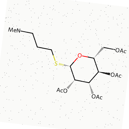 CNCCCS[C@@H]1O[C@H](COC(C)=O)[C@@H](OC(C)=O)[C@H](OC(C)=O)[C@@H]1OC(C)=O